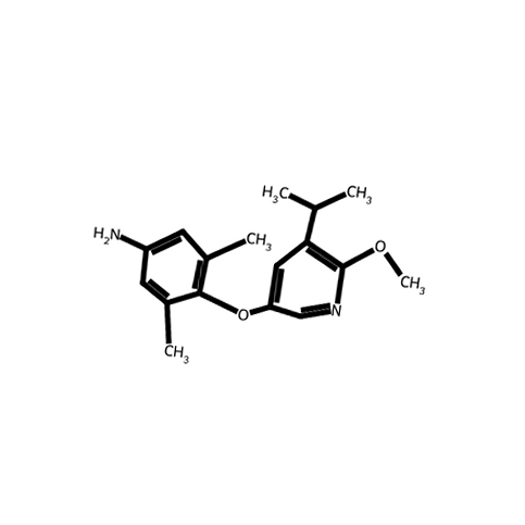 COc1ncc(Oc2c(C)cc(N)cc2C)cc1C(C)C